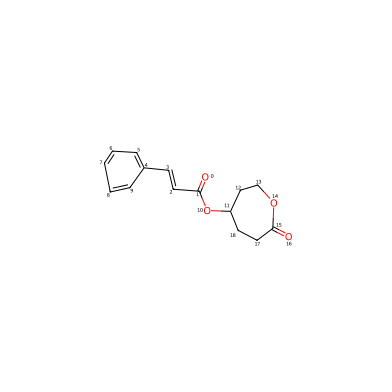 O=C(/C=C/c1ccccc1)OC1CCOC(=O)CC1